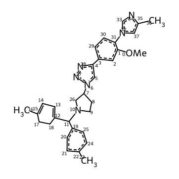 COc1cc(-c2cn(C3CCN(C(C4=CC=C(C)CC4)c4ccc(C)cc4)C3)nn2)ccc1-n1cnc(C)c1